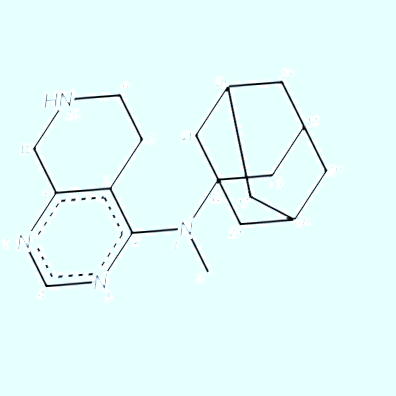 CN(c1ncnc2c1CCNC2)C12CC3CC(CC(C3)C1)C2